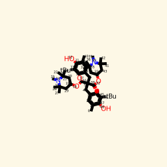 Cc1cc(CC(Cc2cc(C)c(O)c(C(C)(C)C)c2)(C(=O)OC2CC(C)(C)N(C)C(C)(C)C2)C(=O)OC2CC(C)(C)N(C)C(C)(C)C2)cc(C(C)(C)C)c1O